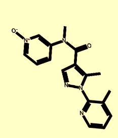 Cc1cccnc1-n1ncc(C(=O)N(C)c2ccc[n+]([O-])c2)c1C